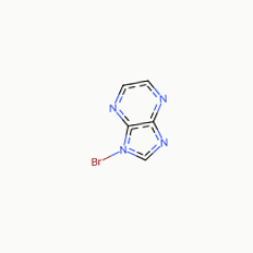 Brn1cnc2nccnc21